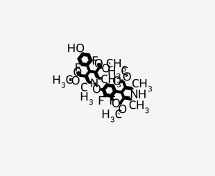 COC(=O)C1=C(C)NC(C)=C(C(=O)OC)C1c1ccc(ON2C(C)=C(C(=O)OC)C(c3c(F)cc(O)cc3F)C(C(=O)OC)=C2C)c(F)c1F